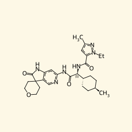 CCn1nc(C)cc1C(=O)N[C@H](C(=O)Nc1cc2c(cn1)C1(CCOCC1)C(=O)N2)[C@H]1CC[C@H](C)CC1